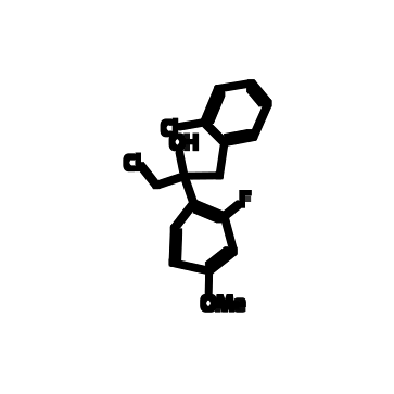 COc1ccc(C(O)(CCl)Cc2ccccc2Cl)c(F)c1